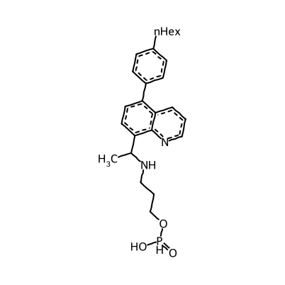 CCCCCCc1ccc(-c2ccc(C(C)NCCCO[PH](=O)O)c3ncccc23)cc1